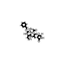 CCCCC(=O)OC(C(C[C@@H]1CCNC1=O)NC(=O)C(CC(C)C)NC(=O)OCc1ccccc1)S(=O)(=O)O